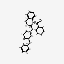 O=C(C1CCCCC1)N1c2ccccc2CCC1CN1CCCC(Cc2ccccc2)C1